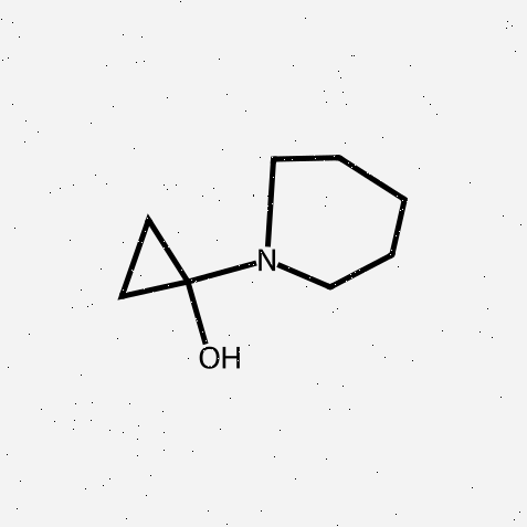 OC1(N2CCCCC2)CC1